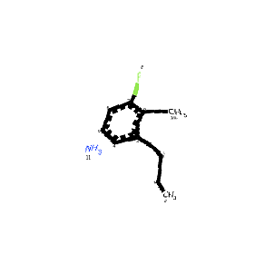 CCCc1cccc(F)c1C.N